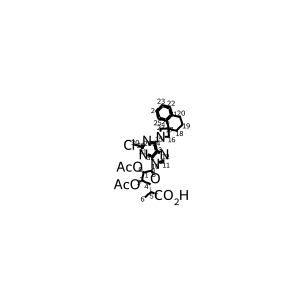 CC(=O)O[C@@H]1[C@H](OC(C)=O)[C@@H](C(C)C(=O)O)O[C@H]1n1cnc2c(N3CC4(CCCc5ccccc54)C3)nc(Cl)nc21